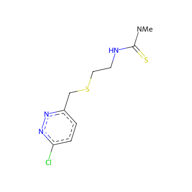 CNC(=S)NCCSCc1ccc(Cl)nn1